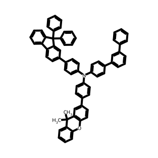 CC1(C)c2ccccc2Oc2ccc(-c3ccc(N(c4ccc(-c5cccc(-c6ccccc6)c5)cc4)c4ccc(-c5ccc6c(c5)C(c5ccccc5)(c5ccccc5)c5ccccc5-6)cc4)cc3)cc21